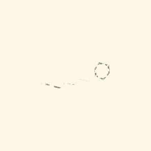 O=C=COCCCc1ccccc1